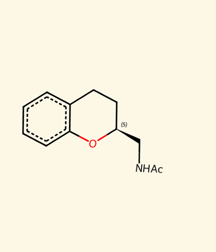 CC(=O)NC[C@@H]1CCc2ccccc2O1